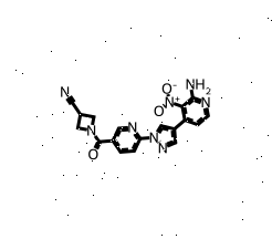 N#CC1CN(C(=O)c2ccc(-n3cc(-c4ccnc(N)c4[N+](=O)[O-])cn3)nc2)C1